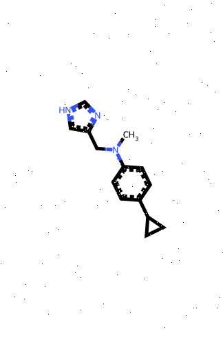 CN(Cc1c[nH]cn1)c1ccc(C2CC2)cc1